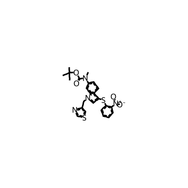 CN(C(=O)OC(C)(C)C)c1ccc2c(Sc3ccccc3[N+](=O)[O-])cn(Cc3cscn3)c2c1